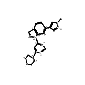 Cn1cc(-c2ccc3cnn(-c4cc(N5CCOCC5)ncn4)c3c2)cn1